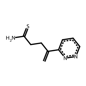 C=C(CCC(N)=S)c1cccnn1